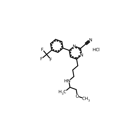 COCC(C)NCCCc1cc(-c2cccc(C(F)(F)F)c2)nc(C#N)n1.Cl